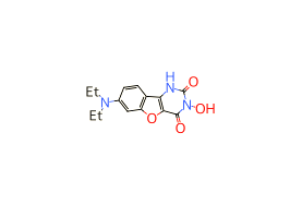 CCN(CC)c1ccc2c(c1)oc1c(=O)n(O)c(=O)[nH]c12